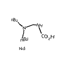 CCCCN(CCCC)NC(=O)O.[Nd]